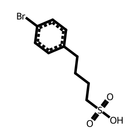 O=S(=O)(O)CCCCc1ccc(Br)cc1